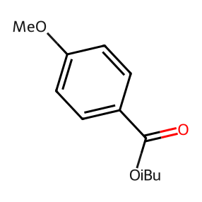 COc1ccc(C(=O)OCC(C)C)cc1